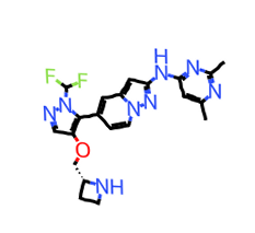 Cc1cc(Nc2cc3cc(-c4c(OC[C@H]5CCN5)cnn4C(F)F)ccn3n2)nc(C)n1